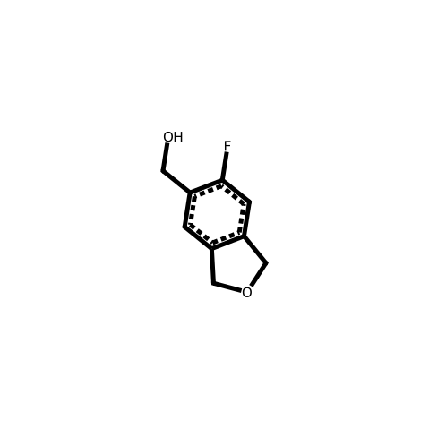 OCc1cc2c(cc1F)COC2